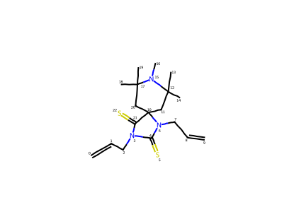 C=CCN1C(=S)N(CC=C)C2(CC(C)(C)N(C)C(C)(C)C2)C1=S